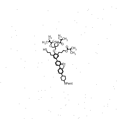 C=C(C)C(=O)OCCCc1cc(-c2ccc(-c3ccc(C4CCC(CCCCC)CC4)cc3F)c(CC)c2)cc(CCCS)c1OCC(CS)(COC(=O)C(=C)C)COC(=O)C(=C)C